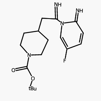 CC(C)(C)OC(=O)N1CCC(CC(=N)n2cc(F)ccc2=N)CC1